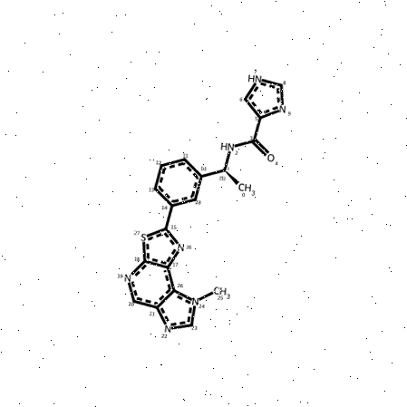 C[C@H](NC(=O)c1c[nH]cn1)c1cccc(-c2nc3c(ncc4ncn(C)c43)s2)c1